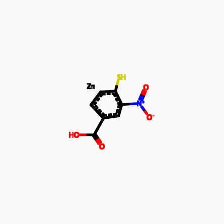 O=C(O)c1ccc(S)c([N+](=O)[O-])c1.[Zn]